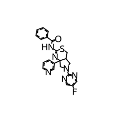 O=C(NC1=NC2(c3cccnc3)CN(c3ncc(F)cn3)CC2CS1)c1ccccc1